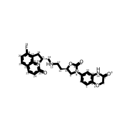 O=C1COc2ccc(N3C[C@@H](CCNC[C@H]4Cc5c(F)ccc6ccc(=O)n4c56)OC3=O)cc2N1